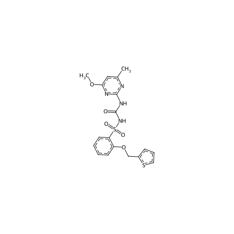 COc1cc(C)nc(NC(=O)NS(=O)(=O)c2ccccc2OCc2cccs2)n1